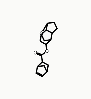 O=C(OC1C2CC3C1OC1CCC2C13)C1CC2C=CC1C2